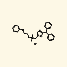 C[N+](C)(CCCOc1ccccc1)Cc1cnc(C(c2ccccc2)c2ccccc2)o1.[Br-]